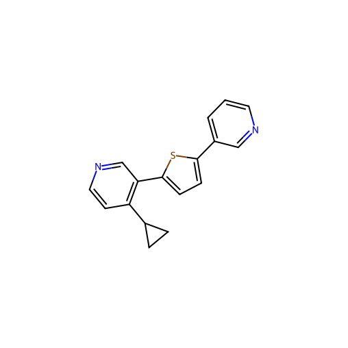 c1cncc(-c2ccc(-c3cnccc3C3CC3)s2)c1